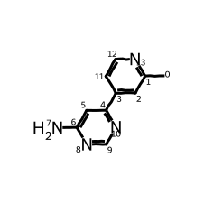 Cc1cc(-c2cc(N)ncn2)ccn1